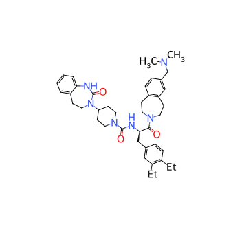 CCc1ccc(C[C@@H](NC(=O)N2CCC(N3CCc4ccccc4NC3=O)CC2)C(=O)N2CCc3ccc(CN(C)C)cc3CC2)cc1CC